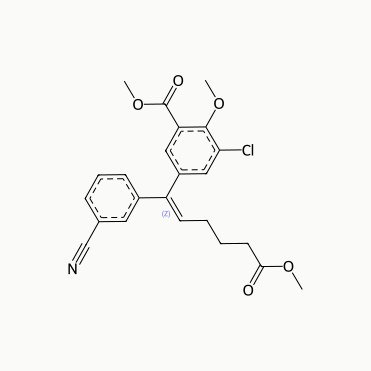 COC(=O)CCC/C=C(/c1cccc(C#N)c1)c1cc(Cl)c(OC)c(C(=O)OC)c1